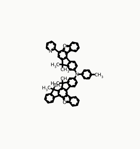 Cc1ccc(N(c2ccc3c(c2)C(C)(C)c2cc(-c4ccccn4)c4oc5ccccc5c4c2-3)c2ccc3c(c2)C(C)(C)c2c4c(c5oc6ccccc6c5c2-3)-c2ccccc2C4(C)C)cc1